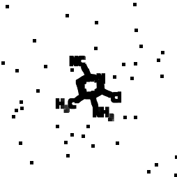 Cc1cc(C#N)nc(Cl)c1N